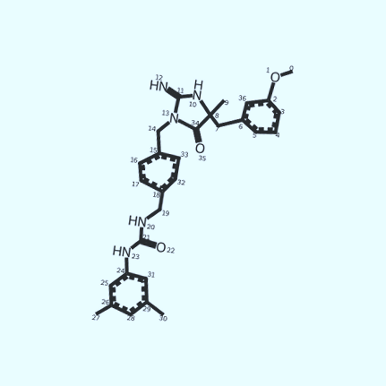 COc1cccc(CC2(C)NC(=N)N(Cc3ccc(CNC(=O)Nc4cc(C)cc(C)c4)cc3)C2=O)c1